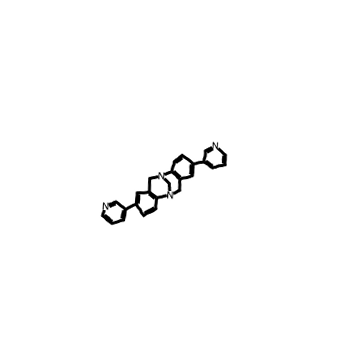 c1cncc(-c2ccc3c(c2)CN2CN3Cc3cc(-c4cccnc4)ccc32)c1